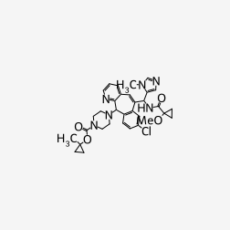 COC1(C(=O)NC(C2=Cc3cccnc3C(N3CCN(C(=O)OC4(C)CC4)CC3)c3ccc(Cl)cc32)c2cncn2C)CC1